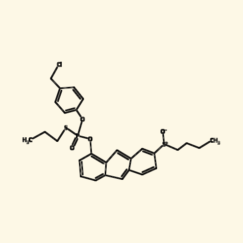 CCCC[S+]([O-])c1ccc2cc3cccc(OP(=O)(Oc4ccc(CCl)cc4)SCCC)c3cc2c1